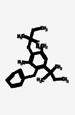 CCC(C)(C)Oc1c(C)cc(C(C)(C)CC)c(Cc2ccccc2)c1C